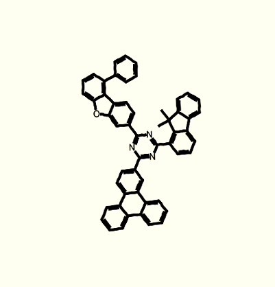 CC1(C)c2ccccc2-c2cccc(-c3nc(-c4ccc5c(c4)oc4cccc(-c6ccccc6)c45)nc(-c4ccc5c6ccccc6c6ccccc6c5c4)n3)c21